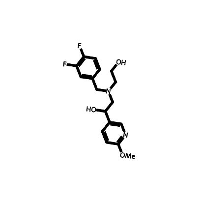 COc1ccc(C(O)CN(CCO)Cc2ccc(F)c(F)c2)cn1